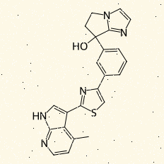 Cc1ccnc2[nH]cc(-c3nc(-c4cccc(C5(O)CCn6ccnc65)c4)cs3)c12